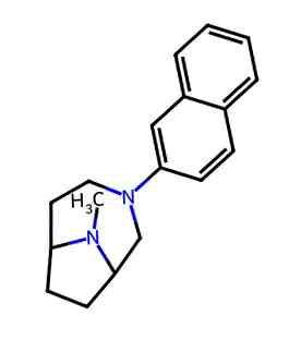 CN1C2CCC1CN(c1ccc3ccccc3c1)CC2